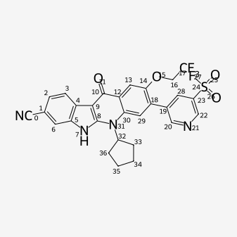 N#Cc1ccc2c(c1)[nH]c1c2c(=O)c2cc(OCC(F)(F)F)c(-c3cncc(S(=O)(=O)F)c3)cc2n1C1CCCC1